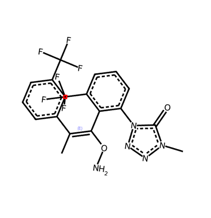 C/C(=C(\ON)c1c(-n2nnn(C)c2=O)cccc1C(F)(F)F)c1cccc(C(F)(F)F)c1